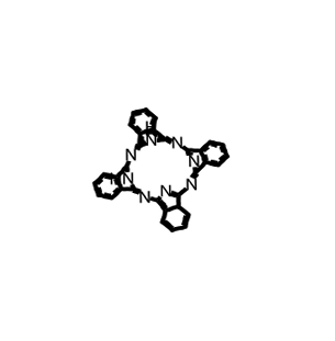 C1=CC2=C3N=C(/N=C4N=C(/N=c5\[nH]/c(c6ccccc56)=N\C5N/C(=N\3)c3ccccc35)c3ccccc3\4)C2C=C1